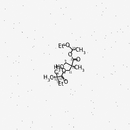 CCOC(C)OC(=O)C(C)(CO)COC(=O)C(C)(C)CC